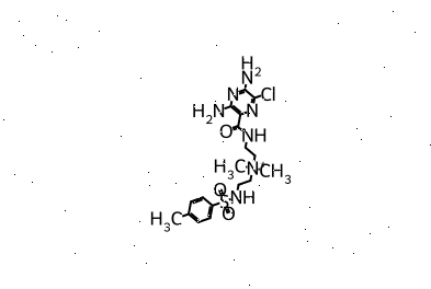 Cc1ccc(S(=O)(=O)NCC[N+](C)(C)CCNC(=O)c2nc(Cl)c(N)nc2N)cc1